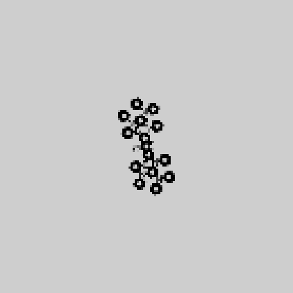 O=c1c2cc3c(cc2oc2cc4c(cc12)B1c2ccccc2N(c2ccccc2)c2cc(N(c5ccccc5)c5ccccc5)cc(c21)N4c1ccccc1)N(c1ccccc1)c1cc(N(c2ccccc2)c2ccccc2)cc2c1B3c1ccccc1N2c1ccccc1